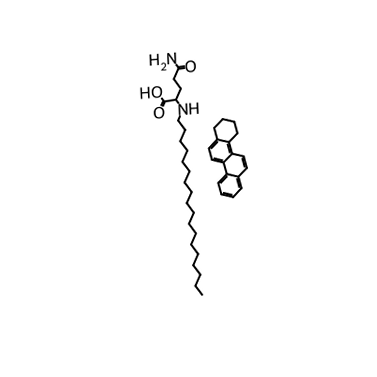 CCCCCCCCCCCCCCCCCCNC(CCC(N)=O)C(=O)O.c1ccc2c(c1)ccc1c3c(ccc12)CCCC3